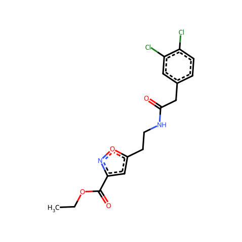 CCOC(=O)c1cc(CCNC(=O)Cc2ccc(Cl)c(Cl)c2)on1